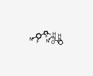 N#Cc1ccc(-c2ccc(C[C@@H](C#N)NC(=O)C3NC4CCC3C4)s2)cc1F